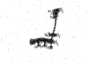 CC(C)(C)c1cc(CCC(=O)O)cc(C(C)(C)C)c1O.CC(C)(C)c1cc(CCC(=O)O)cc(C(C)(C)C)c1O.CC(C)(C)c1cc(CCC(=O)O)cc(C(C)(C)C)c1O.CC(C)(C)c1cc(CCC(=O)O)cc(C(C)(C)C)c1O.CCCCCCCCCCCCCCCCCCC(Cc1cc(C(C)(C)C)c(O)c(C(C)(C)C)c1)C(=O)O.OCC(CO)(CO)CO